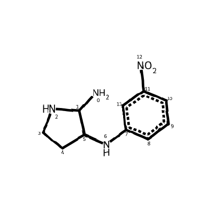 NC1NCCC1Nc1cccc([N+](=O)[O-])c1